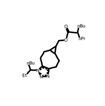 CCCCC(CCC)C(=O)OCC1C2CCc3nnn(C(CC)CCCC)c3CCC21